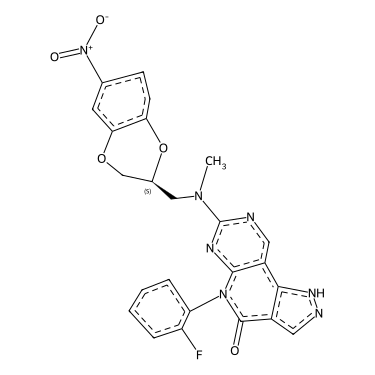 CN(C[C@H]1COc2cc([N+](=O)[O-])ccc2O1)c1ncc2c3[nH]ncc3c(=O)n(-c3ccccc3F)c2n1